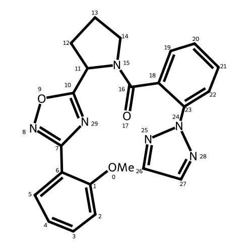 COc1ccccc1-c1noc(C2CCCN2C(=O)c2ccccc2-n2nccn2)n1